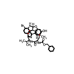 CC(C)[C@@H]1NC(=O)[C@@H](NC(=O)OCc2ccccc2)Cc2ccc3c(c2)C2(c4cccc(Br)c4N[C@H]2O3)c2oc1nc2C(=O)N[C@@H](C)CO